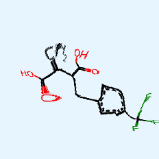 C=C(C(=O)O)C(Cc1ccc(C(F)(F)F)cc1)C(=O)O